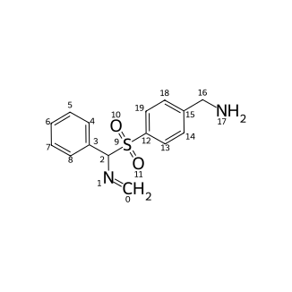 C=NC(c1ccccc1)S(=O)(=O)c1ccc(CN)cc1